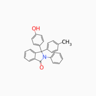 Cc1ccc(C2(c3ccc(O)cc3)c3ccccc3C(=O)N2c2ccccc2)cc1